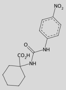 O=C(Nc1ccc([N+](=O)[O-])cc1)NC1(C(=O)O)CCCCC1